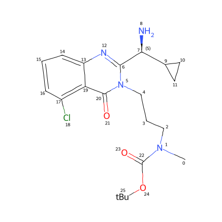 CN(CCCn1c([C@@H](N)C2CC2)nc2cccc(Cl)c2c1=O)C(=O)OC(C)(C)C